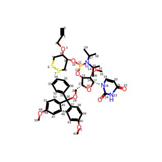 C#CCO[C@@H]1CSSC[C@@H]1OP(O[C@H]1[C@@H](OC)[C@H](n2ccc(=O)[nH]c2=O)O[C@@H]1COC(c1ccccc1)(c1ccc(OC)cc1)c1ccc(OC)cc1)N(C(C)C)C(C)C